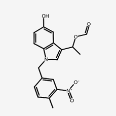 Cc1ccc(Cn2cc(C(C)OC=O)c3cc(O)ccc32)cc1[N+](=O)[O-]